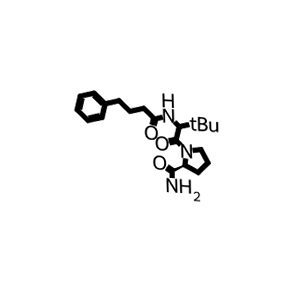 CC(C)(C)C(NC(=O)CCCc1ccccc1)C(=O)N1CCC[C@H]1C(N)=O